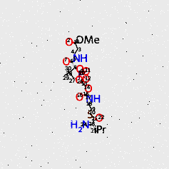 COC(=O)CCNC(=O)[C@@H]1OP(=O)(OCOC(=O)NCCSC(=O)[C@@H](N)C(C)C)OCC1(C)C